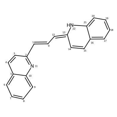 C(=Cc1ccc2ccccc2n1)C=C1C=Cc2ccccc2N1